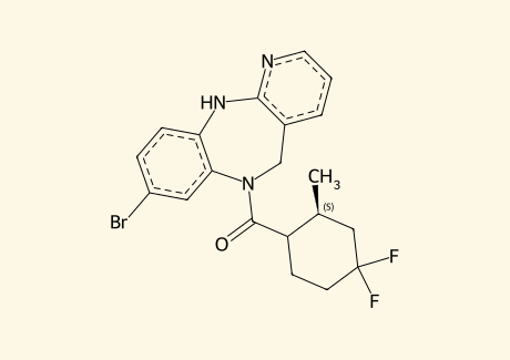 C[C@H]1CC(F)(F)CCC1C(=O)N1Cc2cccnc2Nc2ccc(Br)cc21